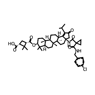 CC(C)C1=C2[C@H]3CC[C@@H]4[C@@]5(C)CC[C@H](OC(=O)[C@H]6C[C@@H](C(=O)O)C6(C)C)C(C)(C)[C@@H]5CC[C@@]4(C)[C@]3(C)CC[C@@]2(NC(=O)C2(C(=O)NCc3ccc(Cl)cc3)CC2)CC1=O